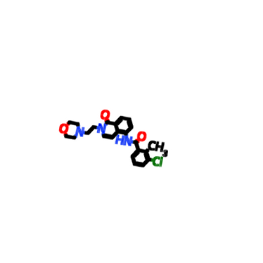 Cc1c(Cl)cccc1C(=O)Nc1cccc2c(=O)n(CCN3CCOCC3)ccc12